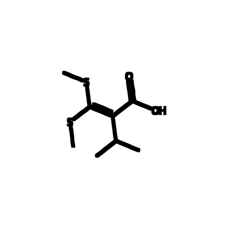 CSC(SC)=C(C(=O)O)C(C)C